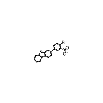 O=[N+]([O-])c1cc(-c2ccc3c(c2)sc2ccccc23)ccc1Br